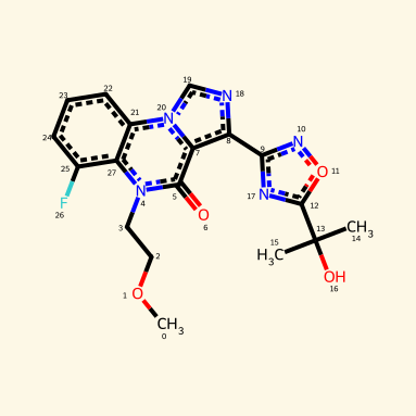 COCCn1c(=O)c2c(-c3noc(C(C)(C)O)n3)ncn2c2cccc(F)c21